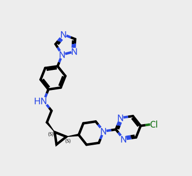 Clc1cnc(N2CCC([C@H]3C[C@H]3CCNc3ccc(-n4cncn4)cc3)CC2)nc1